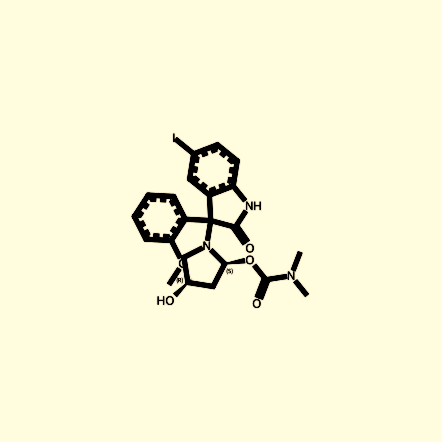 COc1ccccc1C1(N2C[C@H](O)C[C@@H]2OC(=O)N(C)C)C(=O)Nc2ccc(I)cc21